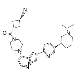 CC(C)N1CCC[C@@H](c2ccc(-c3cc4c(N5CCN(C(=O)[C@H]6C[C@H](C#N)C6)CC5)ccnn4c3)nc2)C1